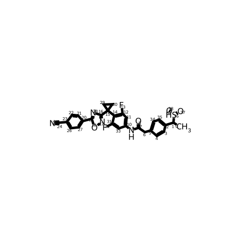 CC(c1ccc(CC(=O)Nc2cc(F)c(C3(c4noc(-c5ccc(C#N)cc5)n4)CC3)c(F)c2)cc1)[SH](=O)=O